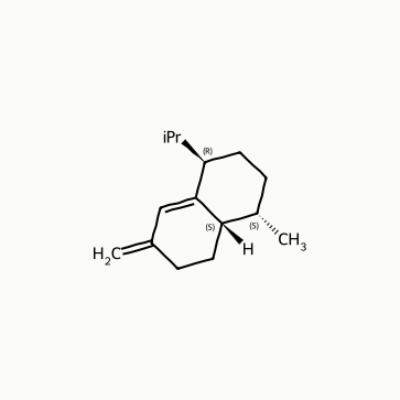 C=C1C=C2[C@@H](CC1)[C@@H](C)CC[C@@H]2C(C)C